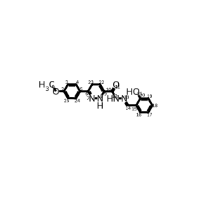 COc1ccc(C2=NNC(C(=O)N/N=C/c3ccccc3O)=CC2)cc1